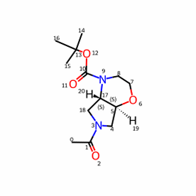 CC(=O)N1C[C@@H]2OCCN(C(=O)OC(C)(C)C)[C@H]2C1